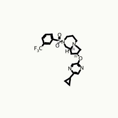 O=S(=O)(c1cccc(C(F)(F)F)c1)N1CCCN2C[C@@H](Oc3cnc(C4CC4)cn3)C[C@H]2C1